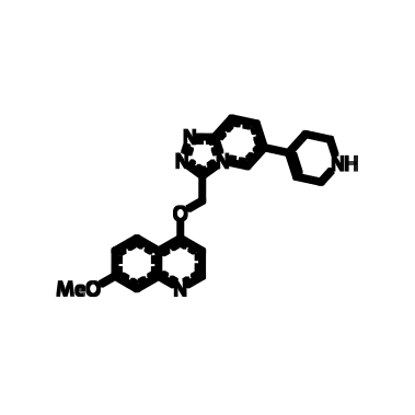 COc1ccc2c(OCc3nnc4ccc(C5=CCNCC5)cn34)ccnc2c1